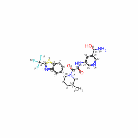 C[C@H]1CC[C@H](c2ccc3sc(C(F)(F)F)nc3c2)N(C(=O)C(=O)Nc2cncc(C(N)O)c2)C1